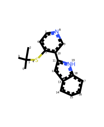 CC(C)(C)Sc1ccncc1-c1cc2ccccc2[nH]1